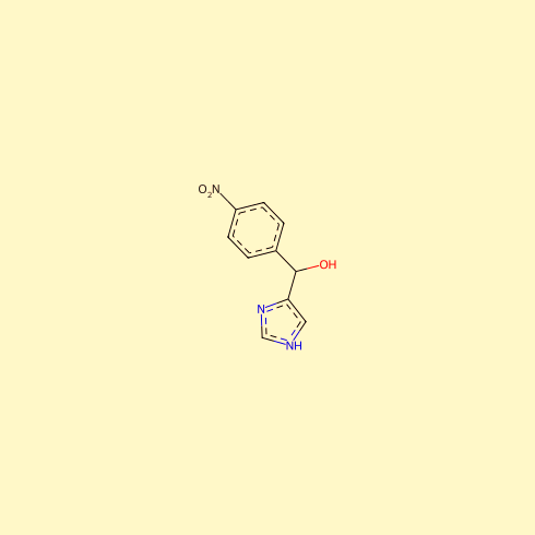 O=[N+]([O-])c1ccc(C(O)c2c[nH]cn2)cc1